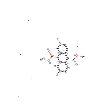 Cc1ccc2c(C(=O)OC(C)C)c3ccc(C)cc3c(C(=O)OC(C)C)c2c1